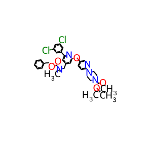 CN(Cc1cc(Oc2ccc(N3CCN(C(=O)OC(C)(C)C)CC3)nc2)nc(-c2cc(Cl)cc(Cl)c2)c1)C(=O)OCc1ccccc1